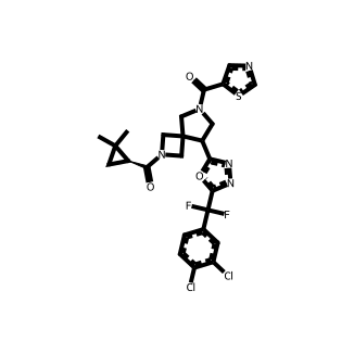 CC1(C)C[C@@H]1C(=O)N1CC2(CN(C(=O)c3cncs3)CC2c2nnc(C(F)(F)c3ccc(Cl)c(Cl)c3)o2)C1